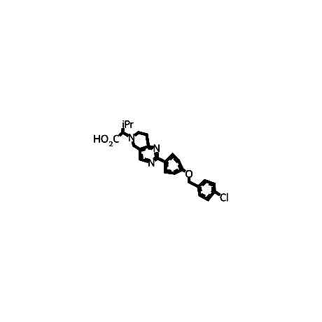 CC(C)C(C(=O)O)N1CCc2nc(-c3ccc(OCc4ccc(Cl)cc4)cc3)ncc2C1